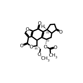 COC[C@@H]1OC(=O)c2coc3c2C1C1=C(C3=O)[C@H]2CCC(=O)C2C[C@@H]1OC(C)=O